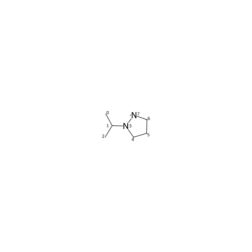 CC(C)N1CCC[N]1